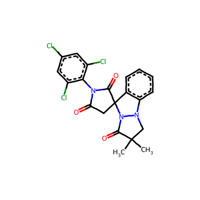 CC1(C)CN2c3ccccc3C3(CC(=O)N(c4c(Cl)cc(Cl)cc4Cl)C3=O)N2C1=O